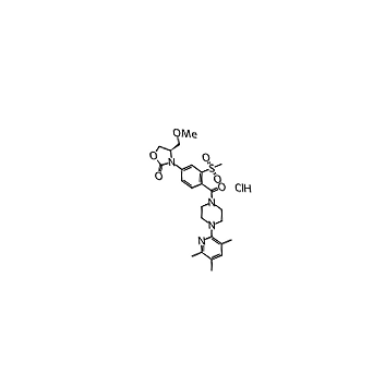 COC[C@@H]1COC(=O)N1c1ccc(C(=O)N2CCN(c3nc(C)c(C)cc3C)CC2)c(S(C)(=O)=O)c1.Cl